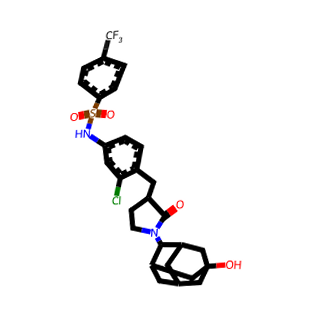 O=C1C(Cc2ccc(NS(=O)(=O)c3ccc(C(F)(F)F)cc3)cc2Cl)CCN1C1C2CC3CC1CC(O)(C3)C2